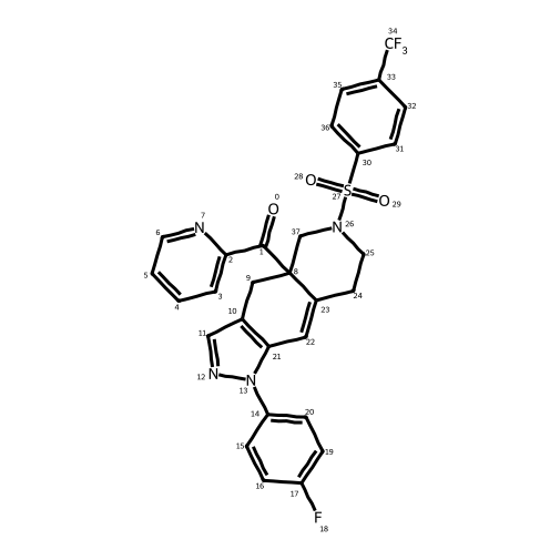 O=C(c1ccccn1)C12Cc3cnn(-c4ccc(F)cc4)c3C=C1CCN(S(=O)(=O)c1ccc(C(F)(F)F)cc1)C2